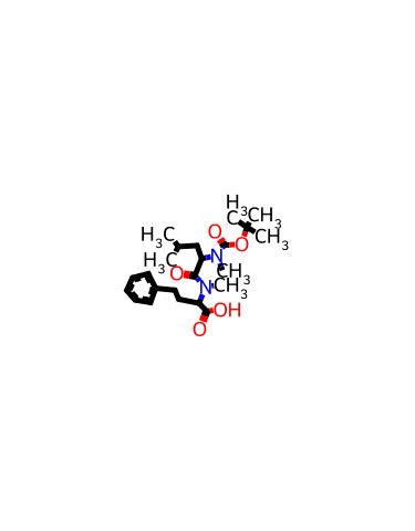 CC(C)CC(C(=O)N(C)C(CCc1ccccc1)C(=O)O)N(C)C(=O)OC(C)(C)C